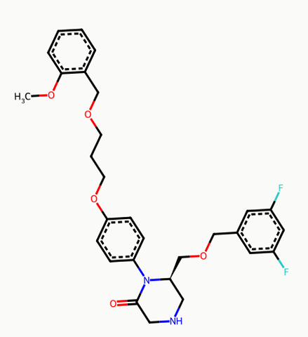 COc1ccccc1COCCCOc1ccc(N2C(=O)CNC[C@@H]2COCc2cc(F)cc(F)c2)cc1